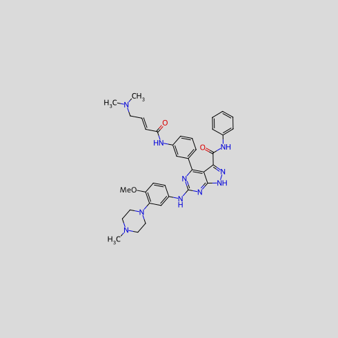 COc1ccc(Nc2nc(-c3cccc(NC(=O)/C=C/CN(C)C)c3)c3c(C(=O)Nc4ccccc4)n[nH]c3n2)cc1N1CCN(C)CC1